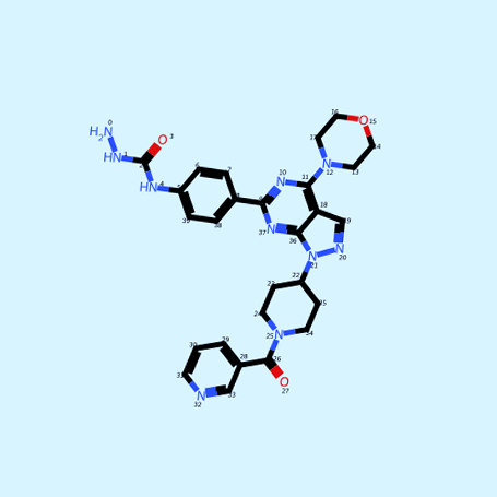 NNC(=O)Nc1ccc(-c2nc(N3CCOCC3)c3cnn(C4CCN(C(=O)c5cccnc5)CC4)c3n2)cc1